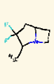 CC1N2CCC2CC1(F)F